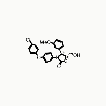 COc1cccc([C@H]2[C@H](CO)OC(=O)N2c2ccc(Oc3ccc(Cl)cc3)cc2)c1